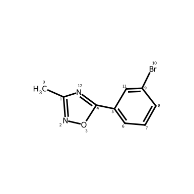 Cc1noc(-c2cccc(Br)c2)n1